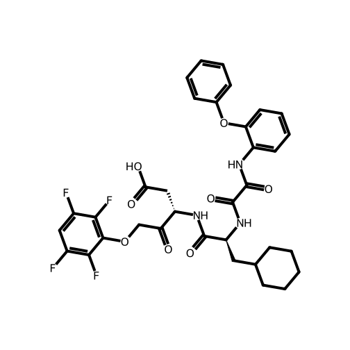 O=C(O)C[C@H](NC(=O)[C@H](CC1CCCCC1)NC(=O)C(=O)Nc1ccccc1Oc1ccccc1)C(=O)COc1c(F)c(F)cc(F)c1F